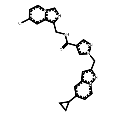 O=C(NCc1ncn2ccc(Cl)cc12)c1cnn(Cc2cc3cc(C4CC4)ccn3n2)c1